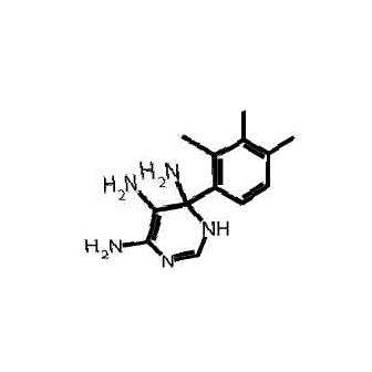 Cc1ccc(C2(N)NC=NC(N)=C2N)c(C)c1C